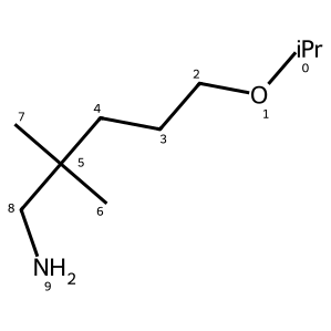 CC(C)OCCCC(C)(C)CN